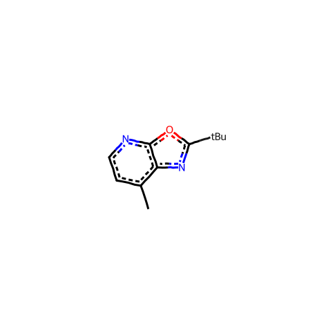 Cc1ccnc2oc(C(C)(C)C)nc12